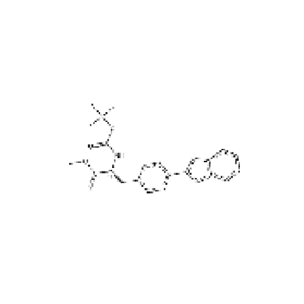 COC(=O)[C@H](Cc1ccc(-c2cc3ccccc3o2)cc1)NC(=O)OC(C)(C)C